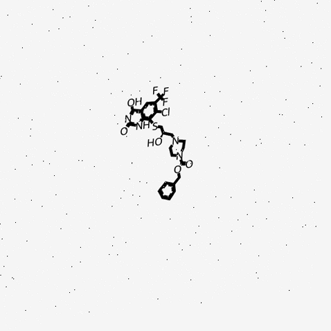 O=C(OCc1ccccc1)N1CCN(C[C@@H](O)CSc2c(Cl)c(C(F)(F)F)cc3c(O)nc(=O)[nH]c23)CC1